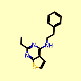 CCc1nc(NCCc2ccccc2)c2ccsc2n1